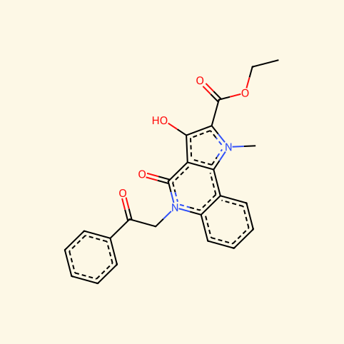 CCOC(=O)c1c(O)c2c(=O)n(CC(=O)c3ccccc3)c3ccccc3c2n1C